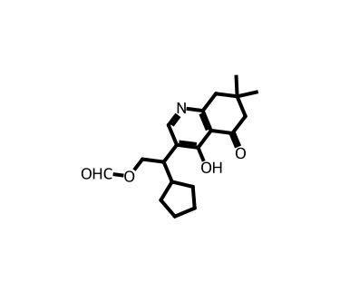 CC1(C)CC(=O)c2c(ncc(C(COC=O)C3CCCC3)c2O)C1